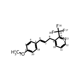 COc1ccc(C=CCc2c[c]cnc2C(F)(F)F)cc1